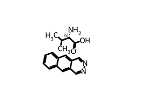 CC(C)[C@H](N)C(=O)O.c1ccc2cc3cnncc3cc2c1